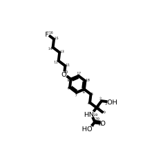 CC(CO)(CCc1ccc(OCCCCCF)cc1)NC(=O)O